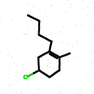 CCCCC1=C(C)CCC(Cl)C1